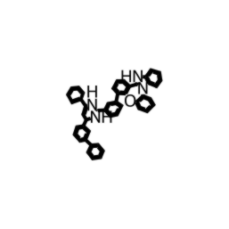 C1=C=CC(C2=CC(c3cccc(-c4ccccc4)c3)NC(c3cccc(-c4cccc5c4Oc4ccccc4N4c6ccccc6NC54)c3)N2)=CC=1